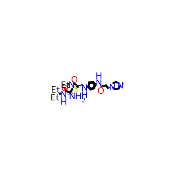 CCC(CC)NC(=O)[C@@H](N)C1S[C@H](CNc2ccc(NC(=O)CCN3CCN(C)CC3)cc2)C(=O)N1CC